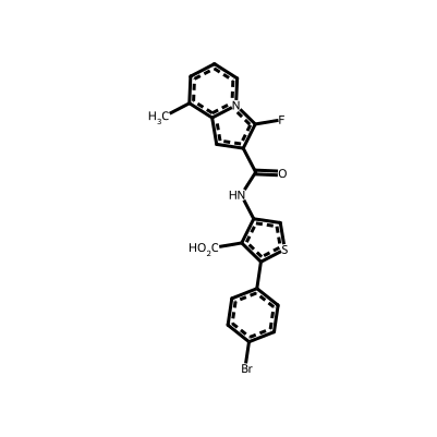 Cc1cccn2c(F)c(C(=O)Nc3csc(-c4ccc(Br)cc4)c3C(=O)O)cc12